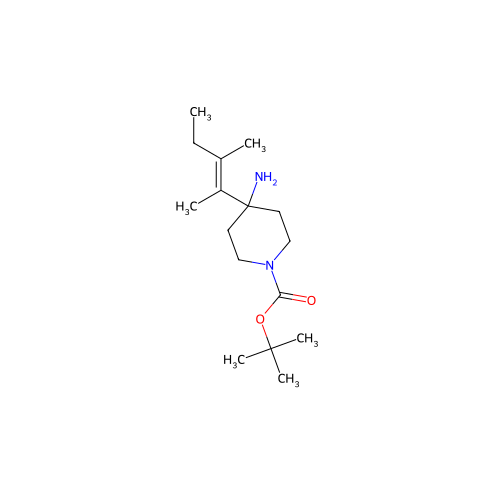 CC/C(C)=C(\C)C1(N)CCN(C(=O)OC(C)(C)C)CC1